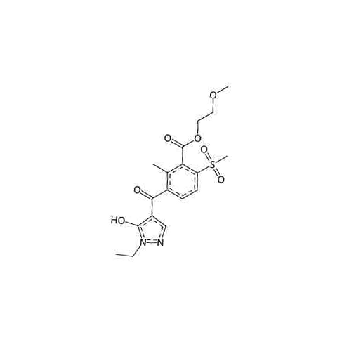 CCn1ncc(C(=O)c2ccc(S(C)(=O)=O)c(C(=O)OCCOC)c2C)c1O